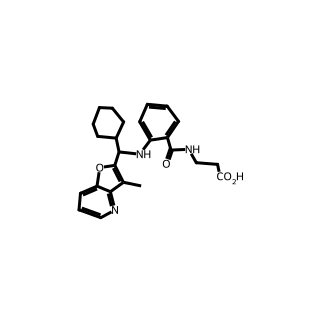 Cc1c(C(Nc2ccccc2C(=O)NCCC(=O)O)C2CCCCC2)oc2cccnc12